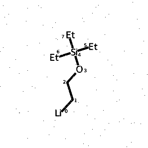 [Li][CH2]CO[Si](CC)(CC)CC